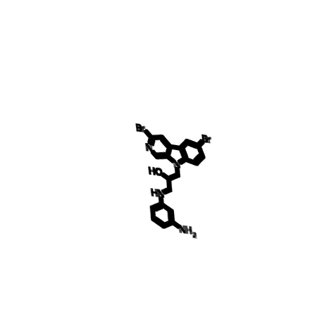 Nc1cccc(NCC(O)Cn2c3ccc(Br)cc3c3cc(Br)ncc32)c1